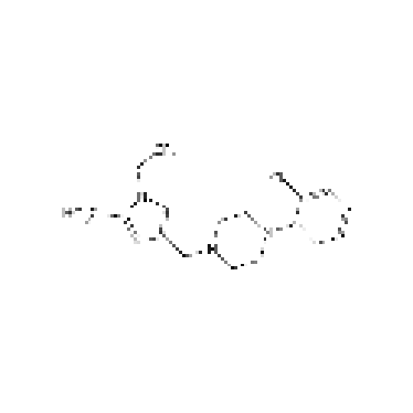 O=C(O)c1cc(CN2CCN(c3ccccc3Cl)CC2)cn1CC(F)(F)F